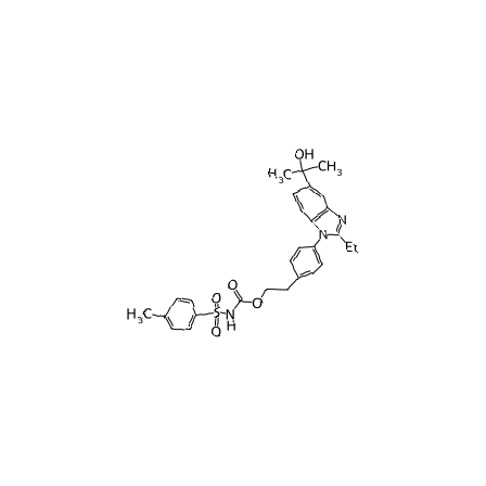 CCc1nc2cc(C(C)(C)O)ccc2n1-c1ccc(CCOC(=O)NS(=O)(=O)c2ccc(C)cc2)cc1